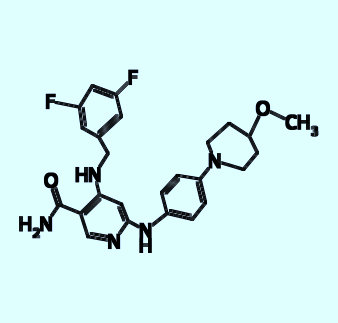 COC1CCN(c2ccc(Nc3cc(NCc4cc(F)cc(F)c4)c(C(N)=O)cn3)cc2)CC1